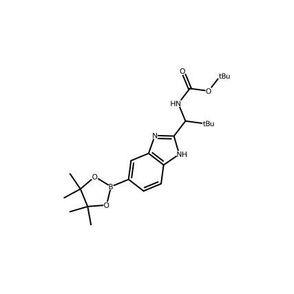 CC(C)(C)OC(=O)NC(c1nc2cc(B3OC(C)(C)C(C)(C)O3)ccc2[nH]1)C(C)(C)C